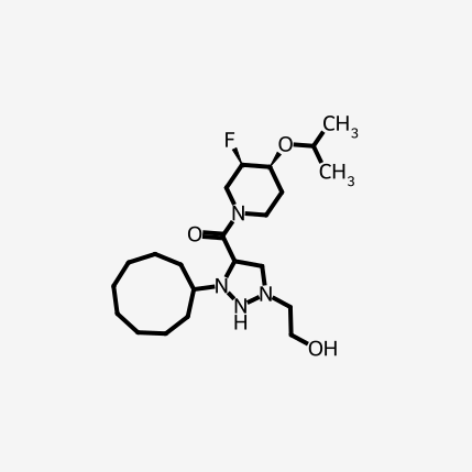 CC(C)O[C@H]1CCN(C(=O)C2CN(CCO)NN2C2CCCCCCCC2)C[C@H]1F